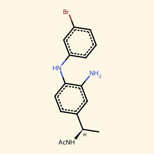 CC(=O)N[C@H](C)c1ccc(Nc2cccc(Br)c2)c(N)c1